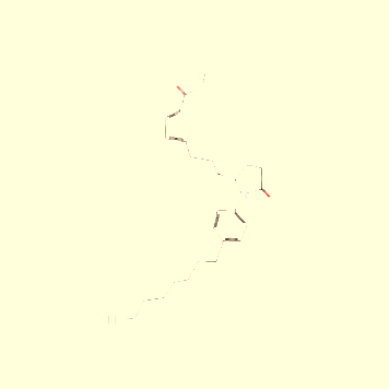 CC(C)OC(=O)c1ccc(CCC[C@H]2CCC(=O)N2c2ccc(CCCCCCCO)cc2)s1